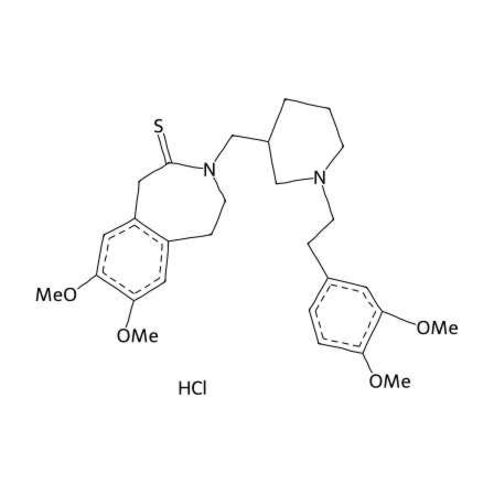 COc1ccc(CCN2CCCC(CN3CCc4cc(OC)c(OC)cc4CC3=S)C2)cc1OC.Cl